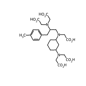 Cc1ccc(CC(CN(CC(=O)O)C2CCCC(N(CC(=O)O)CC(=O)O)C2)N(CC(=O)O)CC(=O)O)cc1